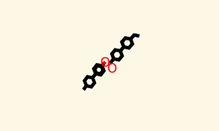 CCC1CCC(C2CCC(C(=O)Oc3ccc(C4CCC(C)CC4)cc3)CC2)CC1